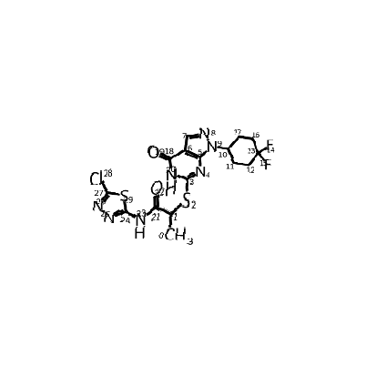 CC(Sc1nc2c(cnn2C2CCC(F)(F)CC2)c(=O)[nH]1)C(=O)Nc1nnc(Cl)s1